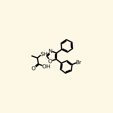 Brc1cccc(-c2ocnc2-c2ccccc2)c1.CC(S)C(=O)O